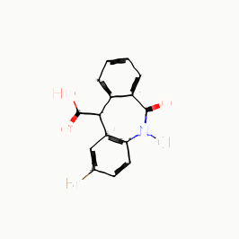 CN1C(=O)c2ccccc2C(C(=O)O)c2cc(Br)ccc21